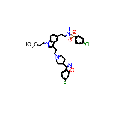 O=C(O)CCn1cc(CCN2CCC(c3noc4cc(F)ccc34)CC2)c2cc(CCNS(=O)(=O)c3ccc(Cl)cc3)ccc21